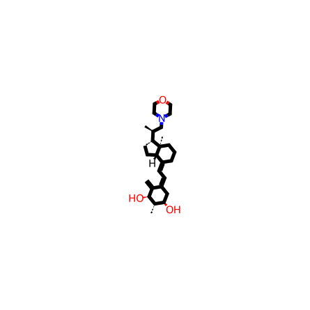 C=C1/C(=C\C=C2/CCC[C@]3(C)[C@@H]([C@@H](C)CN4CCOCC4)CC[C@@H]23)C[C@@H](O)[C@H](C)[C@@H]1O